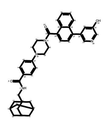 O=C(NCC12CC3CC(CC(C3)C1)C2)c1ccc(N2CCN(C(=O)c3ccc(-c4cncc(O)c4)c4ccccc34)CC2)cc1